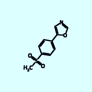 CS(=O)(=O)c1ccc(-c2cnco2)cc1